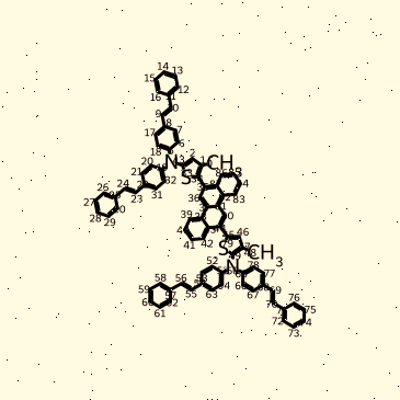 Cc1cc(N(c2ccc(C=Cc3ccccc3)cc2)c2ccc(C=Cc3ccccc3)cc2)sc1-c1cc2c3ccccc3c(-c3cc(C)c(N(c4ccc(C=Cc5ccccc5)cc4)c4ccc(C=Cc5ccccc5)cc4)s3)cc2c2ccccc12